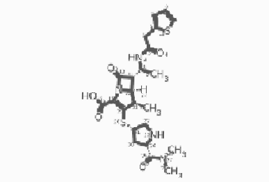 CC(NC(=O)Cc1cccs1)[C@H]1C(=O)N2C(C(=O)O)=C(S[C@@H]3CN[C@H](C(=O)N(C)C)C3)[C@H](C)[C@H]12